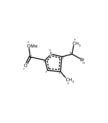 COC(=O)c1cc(C)c(C(C)Br)s1